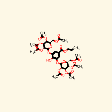 CCCOC(=O)c1cc(OC2O[C@H](COC(C)=O)[C@H](OC(C)=O)[C@H](OC(C)=O)[C@H]2OC(C)=O)c(O)c(OC2O[C@H](COC(C)=O)[C@H](OC(C)=O)[C@H](OC(C)=O)[C@H]2OC(C)=O)c1